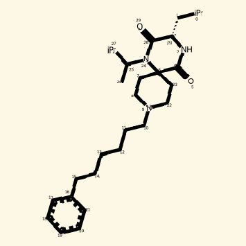 CC(C)C[C@@H]1NC(=O)C2(CCN(CCCCCCc3ccccc3)CC2)N(C(C)C(C)C)C1=O